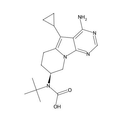 CC(C)(C)N(C(=O)O)[C@H]1CCc2c(C3CC3)c3c(N)ncnc3n2C1